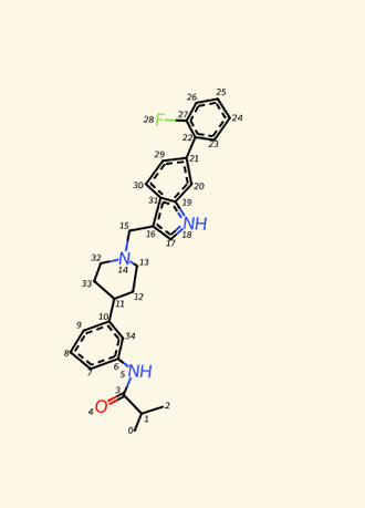 CC(C)C(=O)Nc1cccc(C2CCN(Cc3c[nH]c4cc(-c5ccccc5F)ccc34)CC2)c1